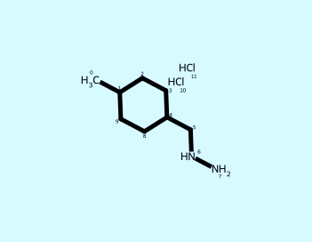 CC1CCC(CNN)CC1.Cl.Cl